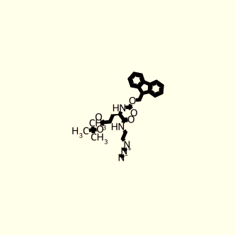 CC(C)(C)OC(=O)CC[C@@H](NC(=O)OCC1c2ccccc2-c2ccccc21)C(=O)NCCN=[N+]=[N-]